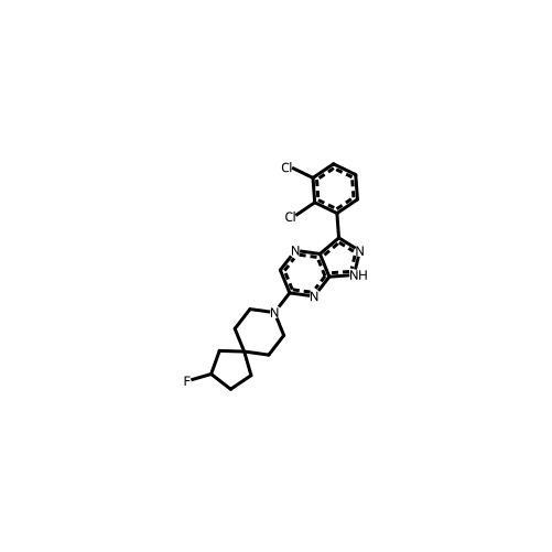 FC1CCC2(CCN(c3cnc4c(-c5cccc(Cl)c5Cl)n[nH]c4n3)CC2)C1